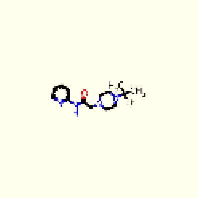 CCC(C)(C)N1CCN(CC(=O)Nc2ccccn2)CC1